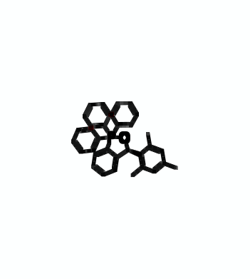 Cc1cc(C)c([C@@H]2OP(c3ccccc3)(c3ccccc3)(c3ccccc3)c3ccccc32)c(C)c1